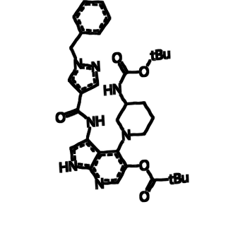 CC(C)(C)OC(=O)NC1CCCN(c2c(OC(=O)C(C)(C)C)cnc3[nH]cc(NC(=O)c4cnn(Cc5ccccc5)c4)c23)C1